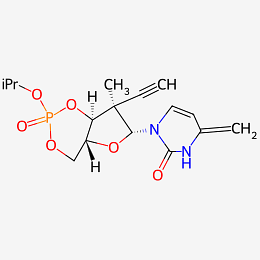 C#C[C@]1(C)[C@@H]2OP(=O)(OC(C)C)OC[C@H]2O[C@H]1N1C=CC(=C)NC1=O